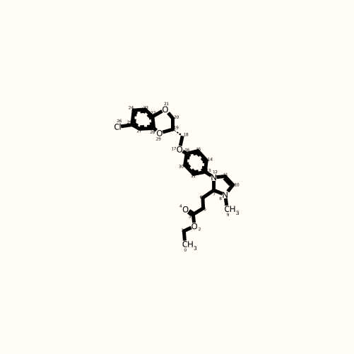 CCOC(=O)CCC1N(C)C=CN1c1ccc(OC[C@H]2COc3ccc(Cl)cc3O2)cc1